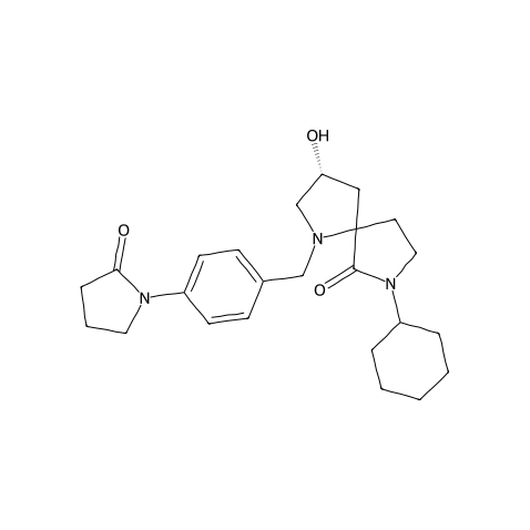 O=C1CCCN1c1ccc(CN2C[C@H](O)CC23CCN(C2CCCCC2)C3=O)cc1